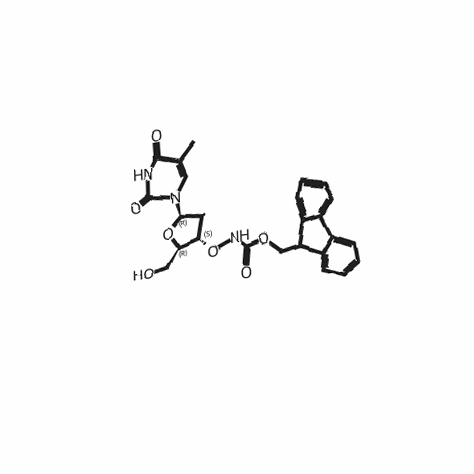 Cc1cn([C@H]2C[C@H](ONC(=O)OCC3c4ccccc4-c4ccccc43)[C@@H](CO)O2)c(=O)[nH]c1=O